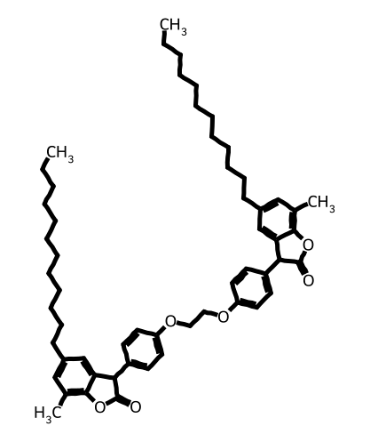 CCCCCCCCCCCCc1cc(C)c2c(c1)C(c1ccc(OCCOc3ccc(C4C(=O)Oc5c(C)cc(CCCCCCCCCCCC)cc54)cc3)cc1)C(=O)O2